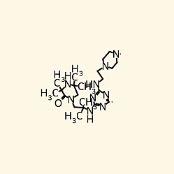 CC(C)(CN1CC(C)(C)NC(C)(C)C1=O)Nc1n[c]nc(NCCN2CC[N]CC2)n1